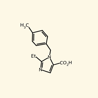 CCc1ncc(C(=O)O)n1Cc1ccc(C)cc1